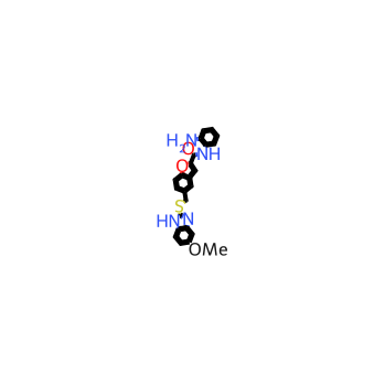 COc1ccc2[nH]c(SCc3ccc4oc(C(=O)Nc5ccccc5N)cc4c3)nc2c1